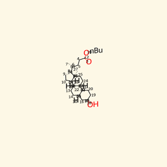 CCCCOC(=O)CC[C@@H](C)[C@H]1CC[C@H]2[C@@H]3CC[C@@H]4C[C@H](O)CC[C@]4(C)[C@H]3CC[C@]12C